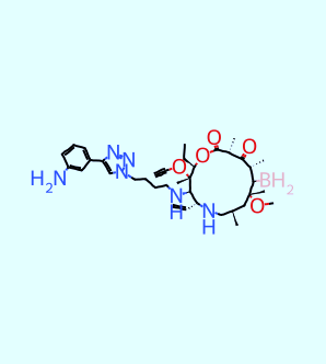 B[C@@H]1[C@@H](C)C(=O)[C@@H](C)C(=O)O[C@H](CC)[C@@](C)(OC#C)[C@H](NCCCCn2cc(-c3cccc(N)c3)nn2)[C@@H](C=C)NC[C@H](C)C[C@@]1(C)OC